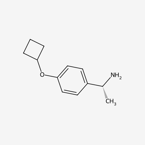 C[C@@H](N)c1ccc(OC2CCC2)cc1